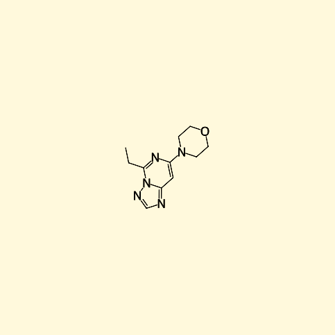 CCc1nc(N2CCOCC2)cc2ncnn12